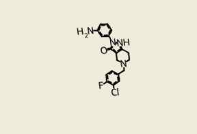 Nc1cccc(-n2[nH]c3c(c2=O)CN(Cc2ccc(F)c(Cl)c2)CC3)c1